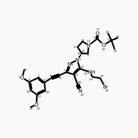 COc1cc(C#Cc2nn([C@H]3CCN(C(=O)OC(C)(C)C)C3)c(NCCBr)c2C#N)cc(OC)c1